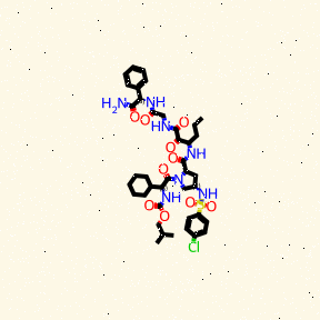 CCCC(NC(=O)C1C[C@@H](NS(=O)(=O)c2ccc(Cl)cc2)CN1C(=O)[C@@H](NC(=O)OCC(C)C)C1CCCCC1)C(=O)C(=O)NCC(=O)N[C@H](C(N)=O)c1ccccc1